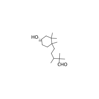 CC(CCC1(C)CC[C@H](O)CC1(C)C)C(C)(C)C=O